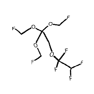 FCOC(COC(F)(F)C(F)F)(OCF)OCF